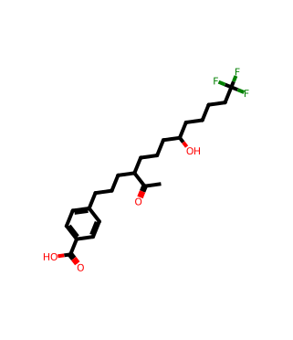 CC(=O)C(CCCc1ccc(C(=O)O)cc1)CCCC(O)CCCCC(F)(F)F